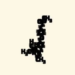 CCCN(Cc1ccc(COc2ccc(CCC(=O)OC)cc2)cc1)c1nc(C)c(C)s1